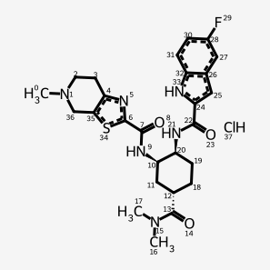 CN1CCc2nc(C(=O)N[C@@H]3C[C@@H](C(=O)N(C)C)CC[C@@H]3NC(=O)c3cc4cc(F)ccc4[nH]3)sc2C1.Cl